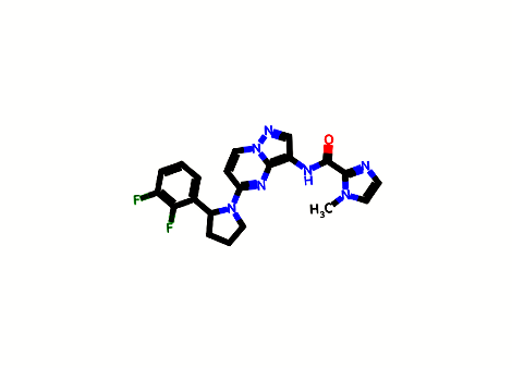 Cn1ccnc1C(=O)Nc1cnn2ccc(N3CCCC3c3cccc(F)c3F)nc12